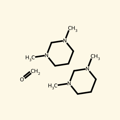 C=O.CN1CCCN(C)C1.CN1CCCN(C)C1